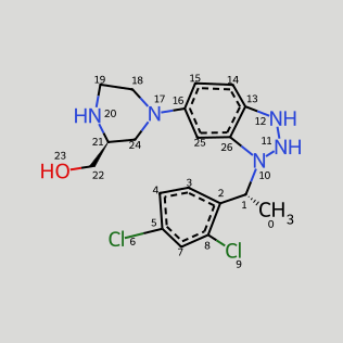 C[C@H](c1ccc(Cl)cc1Cl)N1NNc2ccc(N3CCN[C@H](CO)C3)cc21